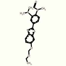 CCOCOc1ccc2nc(-c3ccc(N(C)C=O)c(N(C)C)c3)sc2c1